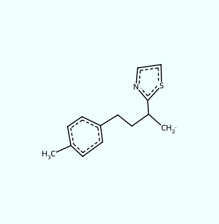 [CH2]C(CCc1ccc(C)cc1)c1nccs1